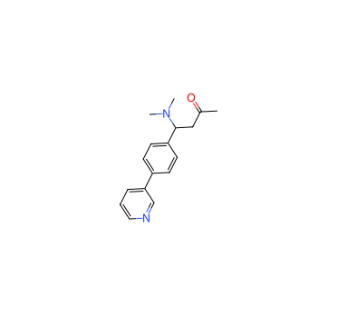 CC(=O)CC(c1ccc(-c2cccnc2)cc1)N(C)C